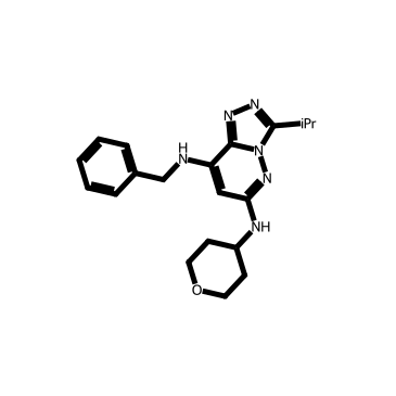 CC(C)c1nnc2c(NCc3ccccc3)cc(NC3CCOCC3)nn12